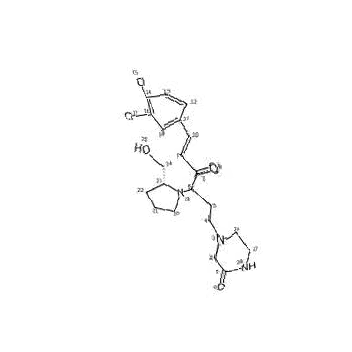 O=C1CN(CCC(C(=O)/C=C/c2ccc(Cl)c(Cl)c2)N2CCC[C@@H]2CO)CCN1